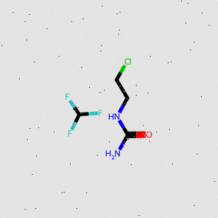 F[C](F)F.NC(=O)NCCCl